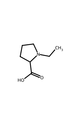 CCN1CCCC1C(=O)O